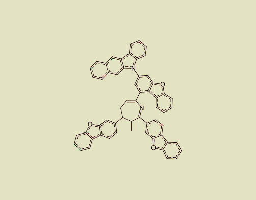 CC1C(c2ccc3c(c2)oc2ccccc23)=NC(c2cc(-n3c4ccccc4c4cc5ccccc5cc43)cc3oc4ccccc4c23)=CCC1c1ccc2c(c1)oc1ccccc12